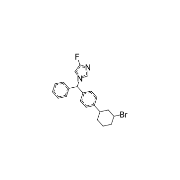 Fc1cn(C(c2ccccc2)c2ccc(C3CCCC(Br)C3)cc2)cn1